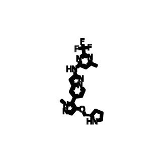 Cc1cc(Nc2cc3cc(-c4c(OC[C@H]5CCCN5)cnn4C)ccn3n2)nc(C(F)(F)F)n1